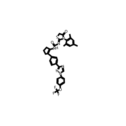 Cc1cc(C)c(N2C(=O)CS/C2=N\C(=O)NC2=C(c3ccc(-c4ncn(-c5ccc(OC(F)(F)F)cc5)n4)cc3)CCC2)c(C)c1